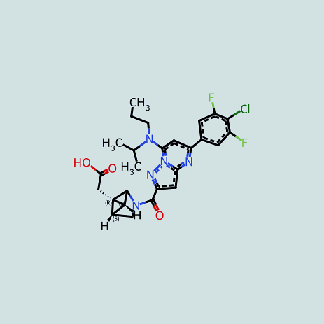 CCCN(c1cc(-c2cc(F)c(Cl)c(F)c2)nc2cc(C(=O)N3C[C@H]4[C@H]5C3[C@@]54CC(=O)O)nn12)C(C)C